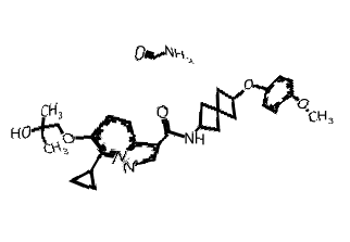 COc1ccc(OC2CC3(CC(NC(=O)c4cnn5c(C6CC6)c(OCC(C)(C)O)ccc45)C3)C2)cc1.NC=O